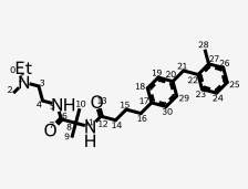 CCN(C)CCNC(=O)C(C)(C)NC(=O)CCCc1ccc(Cc2ccccc2C)cc1